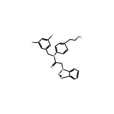 NCCc1ccc(N(Cc2cc(F)cc(F)c2)C(=O)Cn2nnc3ccccc32)cc1